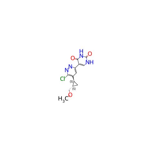 COC[C@H]1C[C@@H]1c1cc(-c2c[nH]c(=O)[nH]c2=O)nnc1Cl